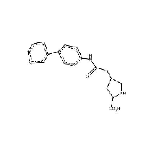 O=C(CC1CNC(C(=O)O)C1)Nc1ccc(-c2cccnc2)cc1